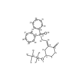 C=C1CCC(O[Si](C)(C)C(C)(C)C)CC1=CCP(=O)(c1ccccc1)c1ccccc1